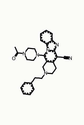 CC(=O)N1CCN(c2c3c(c(C#N)c4nc5ccccc5n24)CCN(CCc2ccccc2)C3)CC1